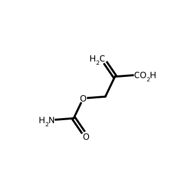 C=C(COC(N)=O)C(=O)O